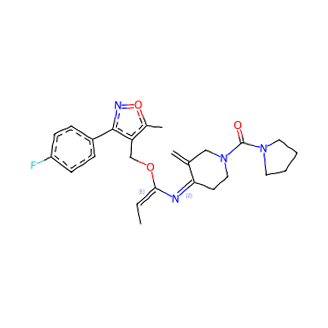 C=C1CN(C(=O)N2CCCC2)CC/C1=N/C(=C\C)OCc1c(-c2ccc(F)cc2)noc1C